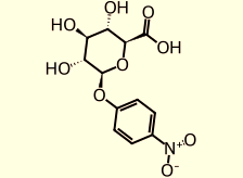 O=C(O)[C@H]1O[C@@H](Oc2ccc([N+](=O)[O-])cc2)[C@H](O)[C@@H](O)[C@@H]1O